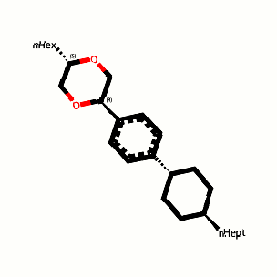 CCCCCCC[C@H]1CC[C@H](c2ccc([C@@H]3CO[C@@H](CCCCCC)CO3)cc2)CC1